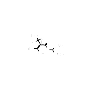 CCCC(C)=C(C(=O)OC(OC)OC)C(O)(O)O